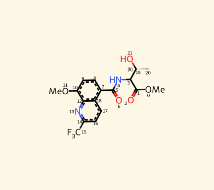 COC(=O)C(NC(=O)c1ccc(OC)c2nc(C(F)(F)F)ccc12)[C@@H](C)O